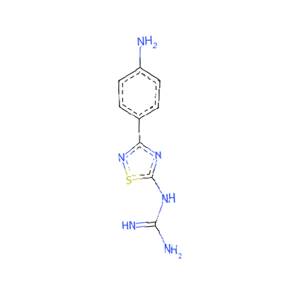 N=C(N)Nc1nc(-c2ccc(N)cc2)ns1